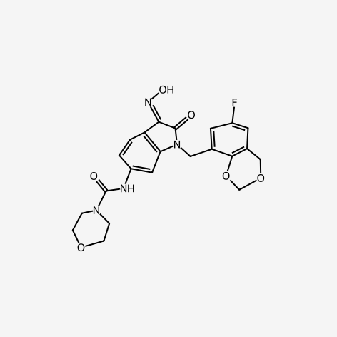 O=C(Nc1ccc2c(c1)N(Cc1cc(F)cc3c1OCOC3)C(=O)/C2=N\O)N1CCOCC1